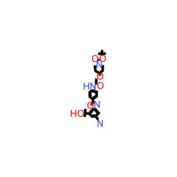 CC(C)(C)OC(=O)N1CCC(OCC(=O)Nc2ccc(-c3nc4cc(C#N)cc(C(C)(C)O)c4o3)cc2)CC1